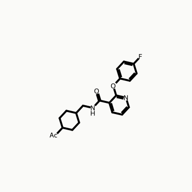 CC(=O)C1CCC(CNC(=O)c2cccnc2Oc2ccc(F)cc2)CC1